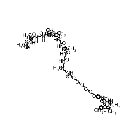 Cc1sc2c(c1C)C(c1ccc(Cl)cc1)=N[C@@H](CC(=O)Nc1ccc(OCCOCCOCCOCCOCCOCCC(=O)NCCCN(C)CCCNC(=O)CCNC(=O)c3nc(NC(=O)CCNC(=O)c4cc(NC(=O)c5nc(NC(=O)CCNC(=O)c6cc(NC(=O)c7nccn7C)cn6C)cn5C)cn4C)cn3C)cc1)c1nnc(C)n1-2